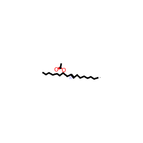 [CH2]CCCCCC/C=C/CC(CCCCCC)OC(C)=O